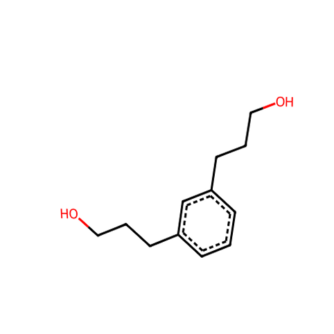 OCCCc1cccc(CCCO)c1